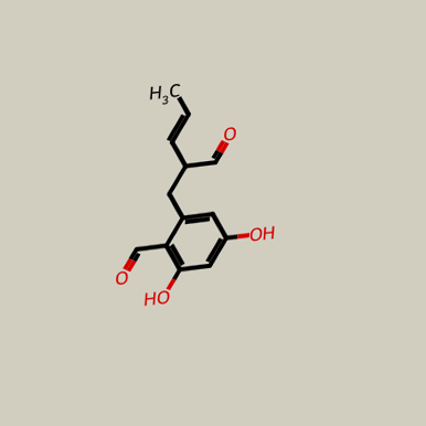 CC=CC(C=O)Cc1cc(O)cc(O)c1C=O